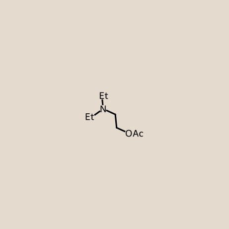 CCN(CC)CCOC(C)=O